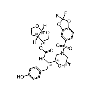 CC(C)CN(C[C@@H](O)[C@H](Cc1ccc(O)cc1)NC(=O)O[C@H]1CO[C@H]2OCC[C@H]21)S(=O)(=O)c1ccc2c(c1)OC(F)(F)O2